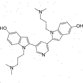 CN(C)CCCn1c(-c2cncc(-c3cc4cc(O)ccc4n3CCCN(C)C)c2)cc2cc(O)ccc21